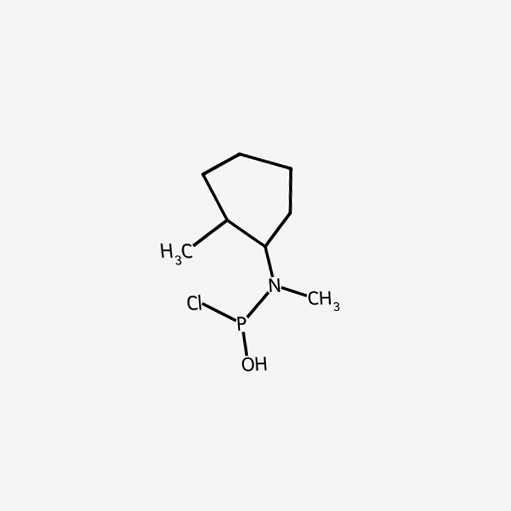 CC1CCCCC1N(C)P(O)Cl